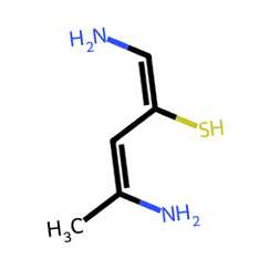 C/C(N)=C/C(S)=C\N